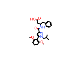 COc1cccc(OC)c1-c1cc(C(=O)NC(CC(=O)O)Cc2ccccc2)nn1CC(C)C